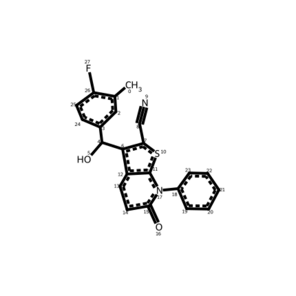 Cc1cc(C(O)c2c(C#N)sc3c2ccc(=O)n3-c2ccccc2)ccc1F